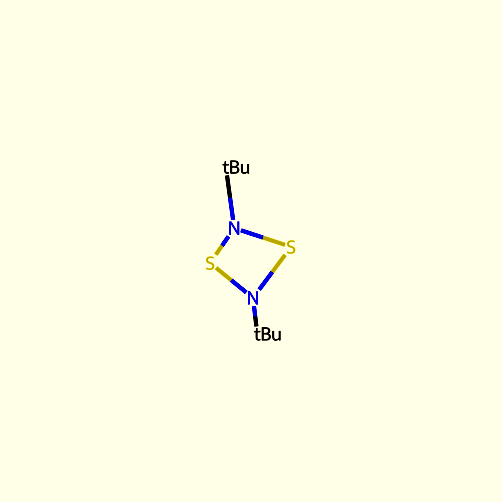 CC(C)(C)N1SN(C(C)(C)C)S1